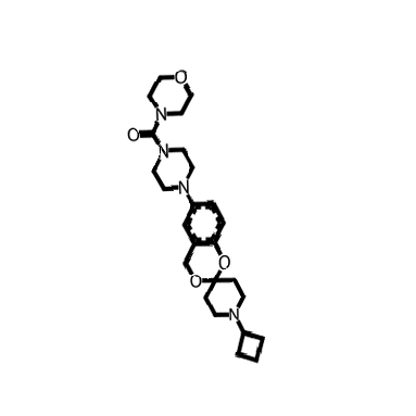 O=C(N1CCOCC1)N1CCN(c2ccc3c(c2)COC2(CCN(C4CCC4)CC2)O3)CC1